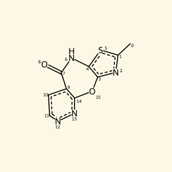 Cc1nc2c(s1)NC(=O)c1ccnnc1O2